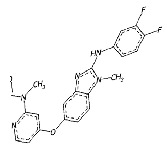 CN(C=O)c1cc(Oc2ccc3c(c2)nc(Nc2ccc(F)c(F)c2)n3C)ccn1